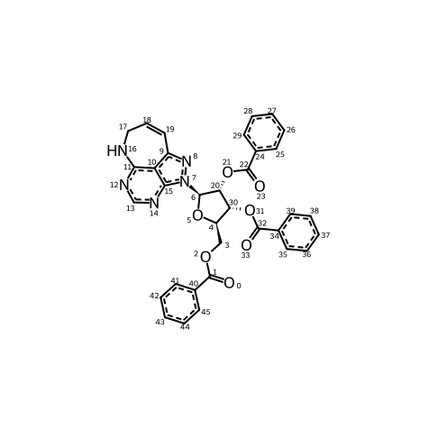 O=C(OC[C@H]1O[C@@H](n2nc3c4c(ncnc42)NCC=C3)[C@H](OC(=O)c2ccccc2)[C@@H]1OC(=O)c1ccccc1)c1ccccc1